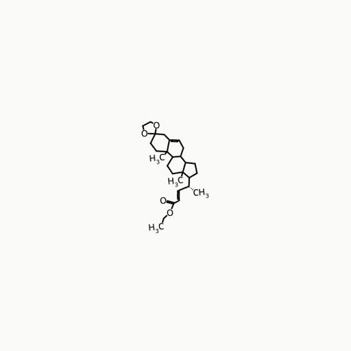 CCOC(=O)/C=C/[C@@H](C)C1CCC2C3CC=C4CC5(CCC4(C)C3CCC21C)OCCO5